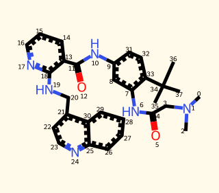 CN(C)CC(=O)Nc1cc(NC(=O)c2cccnc2NCc2ccnc3ccccc23)ccc1C(C)(C)C